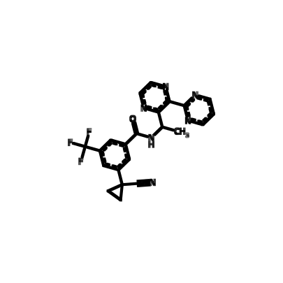 CC(NC(=O)c1cc(C(F)(F)F)cc(C2(C#N)CC2)c1)c1nccnc1-c1ncccn1